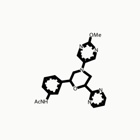 COc1ncc(N2CC(c3cccc(NC(C)=O)c3)OC(c3ncccn3)C2)cn1